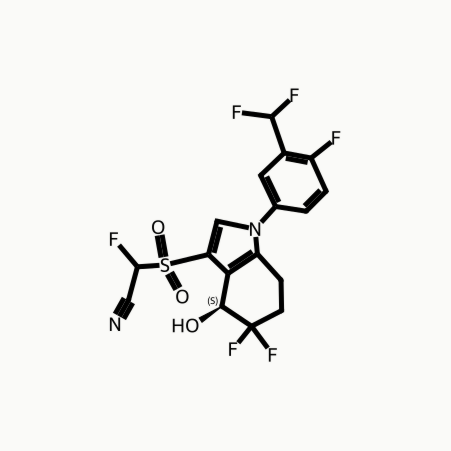 N#CC(F)S(=O)(=O)c1cn(-c2ccc(F)c(C(F)F)c2)c2c1[C@H](O)C(F)(F)CC2